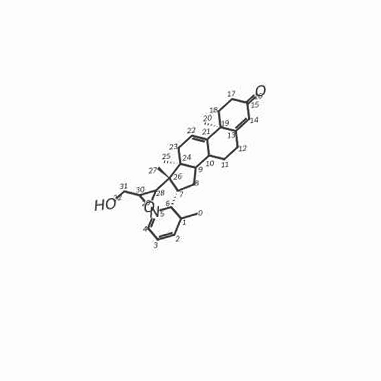 CC1C=CC=NC1[C@H]1CC2C3CCC4=CC(=O)CC[C@]4(C)C3=CC[C@]2(C)[C@@]1(C)C1OC1CO